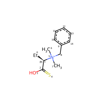 CC[C@H](C(O)=S)[N+](C)(C)Cc1ccccc1